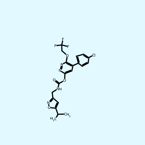 CC(C)c1cc(CNC(=O)Oc2cc(-c3ccc(Cl)cc3)c(OCC(F)(F)F)nn2)no1